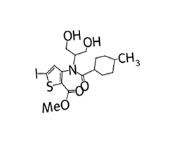 COC(=O)c1sc(I)cc1N(C(=O)C1CCC(C)CC1)C(CO)CO